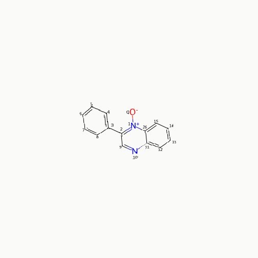 [O-][n+]1c(-c2ccccc2)cnc2ccccc21